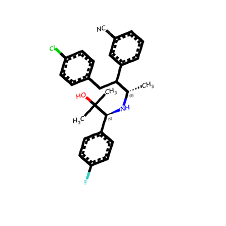 C[C@H](N[C@@H](c1ccc(F)cc1)C(C)(C)O)C(Cc1ccc(Cl)cc1)c1cccc(C#N)c1